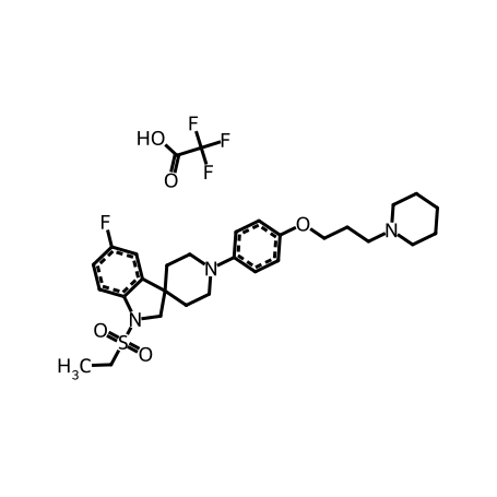 CCS(=O)(=O)N1CC2(CCN(c3ccc(OCCCN4CCCCC4)cc3)CC2)c2cc(F)ccc21.O=C(O)C(F)(F)F